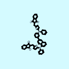 O=C1C(=Cc2ccc(N(c3ccccc3)c3cccc(-c4ccc5c(N(c6ccccc6)c6ccc(C=C7C(=O)c8ccccc8C7=O)s6)cccc5c4)c3)s2)C(=O)c2ccccc21